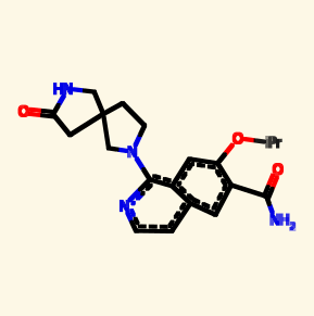 CC(C)Oc1cc2c(N3CCC4(CNC(=O)C4)C3)nccc2cc1C(N)=O